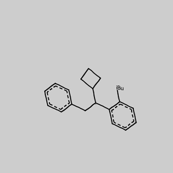 CCC(C)c1ccccc1[C](Cc1ccccc1)C1CCC1